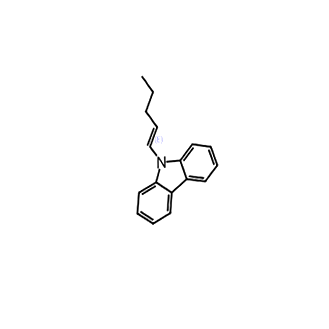 CCC/C=C/n1c2ccccc2c2ccccc21